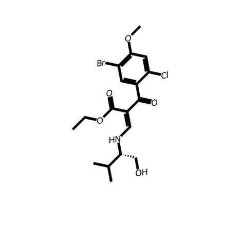 CCOC(=O)/C(=C\N[C@H](CO)C(C)C)C(=O)c1cc(Br)c(OC)cc1Cl